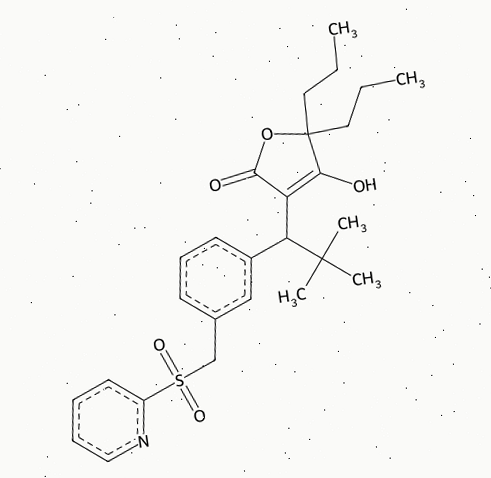 CCCC1(CCC)OC(=O)C(C(c2cccc(CS(=O)(=O)c3ccccn3)c2)C(C)(C)C)=C1O